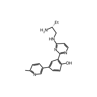 CC[C@@H](N)CNc1ccnc(-c2cc(-c3ccc(C)nc3)ccc2O)n1